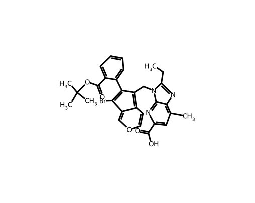 CCc1nc2c(C)cc(C(=O)O)nc2n1Cc1c2ccocc-2c(Br)c1-c1ccccc1C(=O)OC(C)(C)C